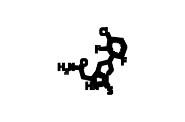 NC(=O)Cc1[nH]c(=S)n2c1CC(c1c(F)ccc(Cl)c1F)C2